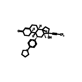 C[C@]12C[C@H](c3ccc(N4CCCC4)cc3)[C@H]3[C@@H](CCC4=CC(=O)CC[C@@H]43)[C@@H]1CC[C@@]2(O)C#CC(F)(F)F